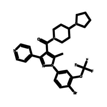 Cc1c(C(=O)N2CCC(N3CCCC3)CC2)c(-c2ccncc2)nn1-c1ccc(Br)c(OC(F)(F)F)c1